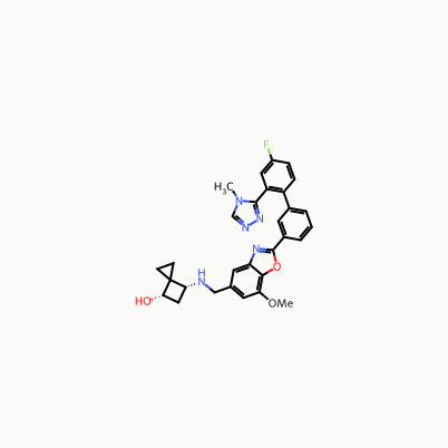 COc1cc(CN[C@@H]2C[C@H](O)C23CC3)cc2nc(-c3cccc(-c4ccc(F)cc4-c4nncn4C)c3)oc12